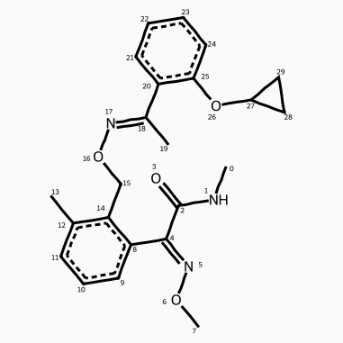 CNC(=O)/C(=N/OC)c1cccc(C)c1CO/N=C(\C)c1ccccc1OC1CC1